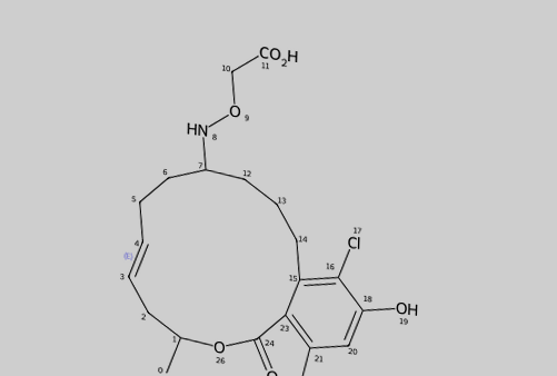 CC1C/C=C/CCC(NOCC(=O)O)CCCc2c(Cl)c(O)cc(O)c2C(=O)O1